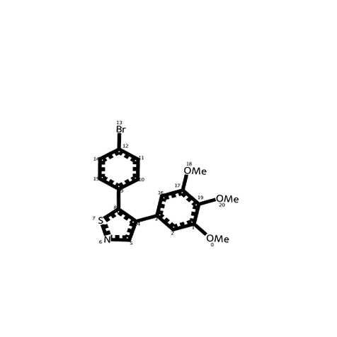 COc1cc(-c2cnsc2-c2ccc(Br)cc2)cc(OC)c1OC